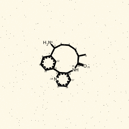 CC1CCCC(N)c2cccc(c2)-c2ncccc2NC1=O